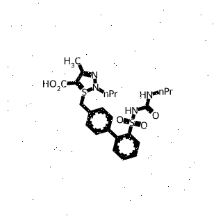 CCCNC(=O)NS(=O)(=O)c1ccccc1-c1ccc(CS2=C(C(=O)O)C(C)=NN2CCC)cc1